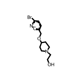 OCCN1CCC(OCc2ccc(Br)nc2)CC1